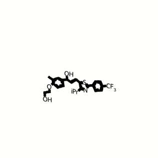 Cc1cc(C(O)C=Cc2sc(-c3ccc(C(F)(F)F)cc3)nc2C(C)C)ccc1OCCO